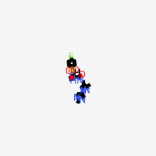 Cc1ncc(-n2cc(CNC(=O)[C@@H]3C4CC(C4)N3S(=O)(=O)c3ccc(F)cc3)c(C)n2)cn1